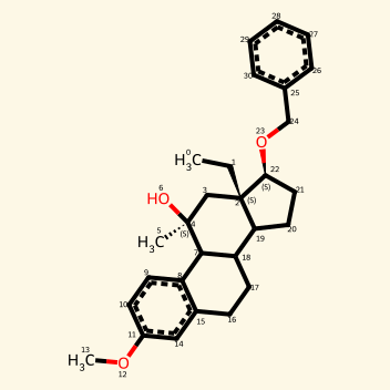 CC[C@]12C[C@](C)(O)C3c4ccc(OC)cc4CCC3C1CC[C@@H]2OCc1ccccc1